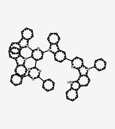 c1ccc(-c2nc(-c3ccccc3)nc(-c3cc(-n4c5ccccc5c5cc(-c6ccc7c(n6)c6c8[nH]c9ccccc9c8ccc6n7-c6ccccc6)ccc54)nc(-n4c5ccccc5c5ccccc54)c3-n3c4ccccc4c4ccccc43)n2)cc1